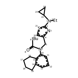 CCN(c1nc(CN(C(=O)C(C)(C)C)c2cccc3c2CCCC3)cs1)C1CC1